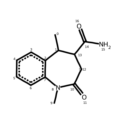 CC1c2ccccc2N(C)C(=O)[C]C1C(N)=O